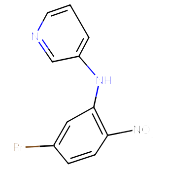 O=[N+]([O-])c1ccc(Br)cc1Nc1cccnc1